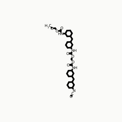 COCOC(=O)NC1CCCC(CC2CCCC(NC(=O)OCOC(=O)NC3CCCC(CC4CCCC(N=C=O)C4)C3)C2)C1